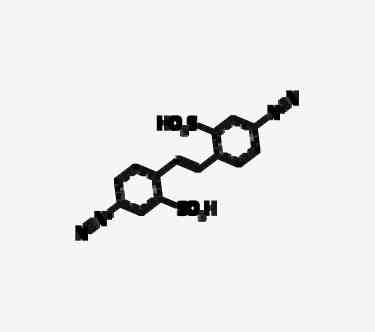 N#[N+]c1ccc(/C=C/c2ccc([N+]#N)cc2S(=O)(=O)O)c(S(=O)(=O)O)c1